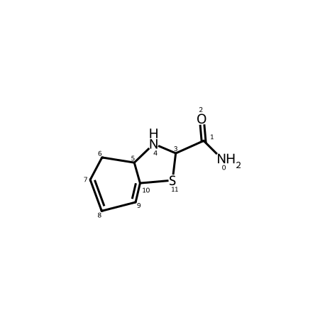 NC(=O)C1NC2CC=CC=C2S1